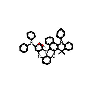 CC1(C)c2ccccc2N(c2ccccc2)c2c1c1c(c3ccccc23)B2c3c(cccc3O1)Oc1cc(N(c3ccccc3)c3ccccc3)c3ccccc3c12